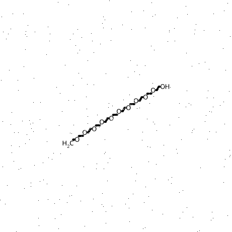 C=COCCOCCOCCOCCOCCOCCOCCOCCOCCOCCO